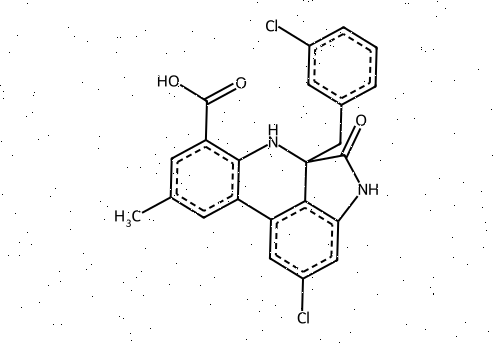 Cc1cc(C(=O)O)c2c(c1)-c1cc(Cl)cc3c1C(Cc1cccc(Cl)c1)(N2)C(=O)N3